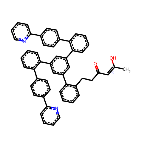 C/C(O)=C/C(=O)CCc1ccccc1-c1cc(-c2ccccc2-c2ccc(-c3ccccn3)cc2)cc(-c2ccccc2-c2ccc(-c3ccccn3)cc2)c1